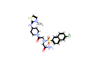 Cn1ccsc1=NC1CCN(C(=O)CN(CC(N)=O)S(=O)(=O)c2ccc3cc(Cl)ccc3c2)CC1